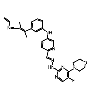 C=C/N=C\C(C)=C(/C)c1cccc(Nc2ccc(/C=N/Nc3ncc(F)c(N4CCOCC4)n3)nc2)c1